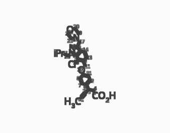 CC#CC(CC(=O)O)c1ccc(OCc2ccc3c(CN4CCOCC4)nn(CC(C)C)c3c2Cl)cc1